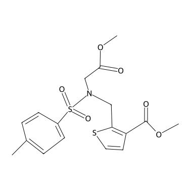 COC(=O)CN(Cc1sccc1C(=O)OC)S(=O)(=O)c1ccc(C)cc1